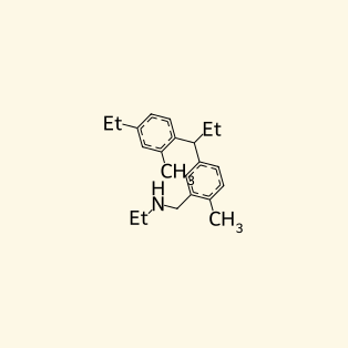 CCNCc1cc(C(CC)c2ccc(CC)cc2C)ccc1C